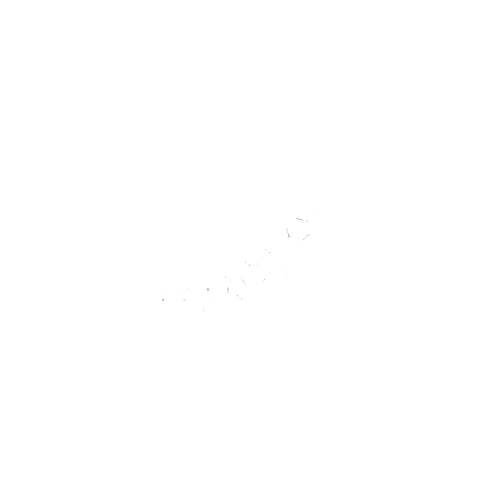 O[C@@H]1CO[C@H]2[C@@H]1OC[C@H]2Oc1nc2nc(NC3CCc4cc(OCC5COC5)cc(F)c43)c(Cl)cc2[nH]1